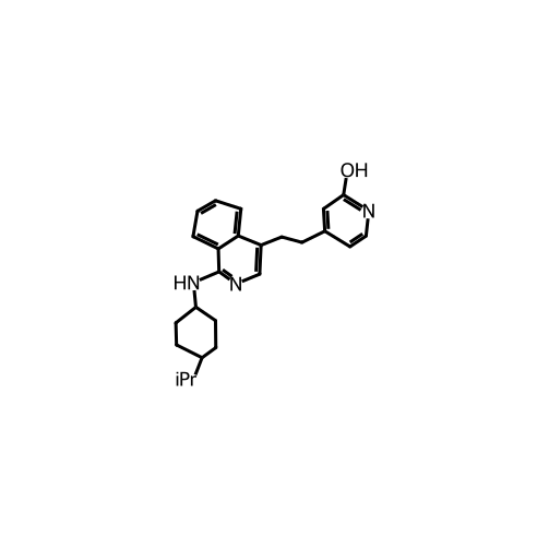 CC(C)C1CCC(Nc2ncc(CCc3ccnc(O)c3)c3ccccc23)CC1